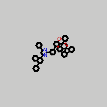 c1ccc(-c2cc(-c3ccc(-c4ccccc4)c4ccccc34)nc(-c3cccc(-c4ccc5c(c4)C4(c6ccccc6O5)c5ccccc5C5(c6ccccc6-c6ccccc65)c5ccccc54)c3)n2)cc1